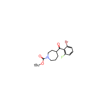 CC(C)(C)OC(=O)N1CCCC(C(=O)c2c(F)cccc2Br)CC1